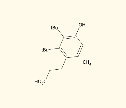 C.CC(C)(C)c1c(O)ccc(CCC(=O)O)c1C(C)(C)C